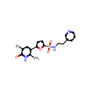 CCc1cc(-c2ccc(S(=O)(=O)NCCc3cccnc3)o2)c(C)[nH]c1=O